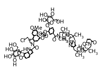 COc1ccc2c(OS(=O)(=O)Oc3cc(C(=O)N(C)CC(C)(C)COCC(C)(C)Cn4cc(CC(C)(C)COCC(C)(C)CN5C(=O)C=CC5=O)nn4)ccc3O[C@@H]3O[C@H](CO)[C@H](O)[C@H](O)[C@H]3O)cc3c(c2c1)[C@H](CCl)CN3C(=O)c1cc2ccc(O[C@@H]3O[C@H](CO)[C@H](O)[C@H](O)[C@H]3O)c(C(C)=O)c2[nH]1